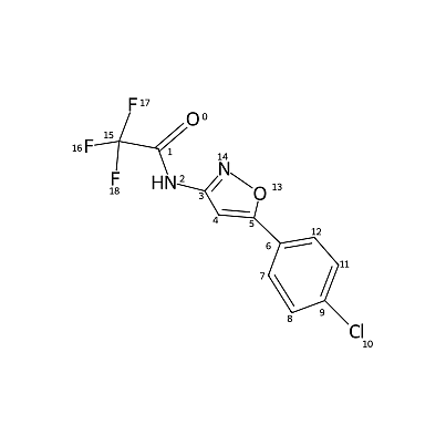 O=C(Nc1cc(-c2ccc(Cl)cc2)on1)C(F)(F)F